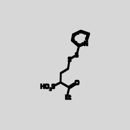 CCC(=O)C(CCSSc1ccccn1)S(=O)(=O)O